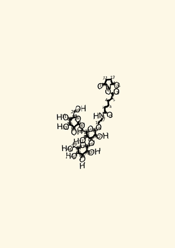 O=C(CCCCC(=O)ON1C(=O)CCC1=O)NCCO[C@H]1O[C@H](CO[C@H]2O[C@H](CO)[C@@H](O)[C@H](O)[C@@H]2O)[C@@H](O)[C@H](O[C@@H]2O[C@H](CO)[C@@H](O)[C@H](O)[C@@H]2O)[C@@H]1O